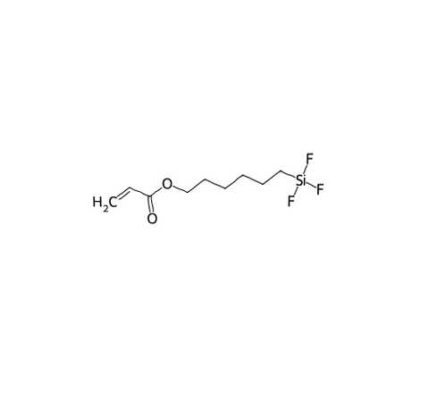 C=CC(=O)OCCCCCC[Si](F)(F)F